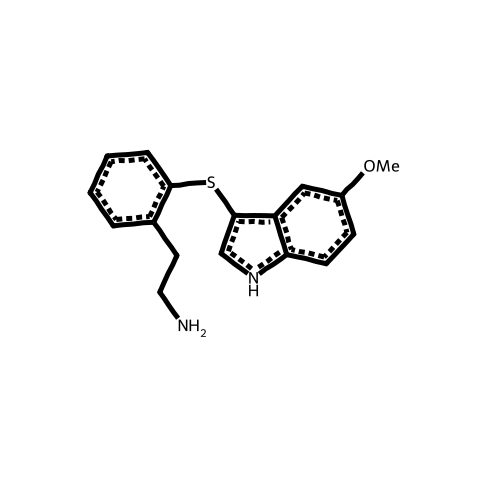 COc1ccc2[nH]cc(Sc3ccccc3CCN)c2c1